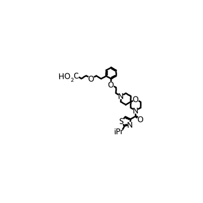 CC(C)c1nc(C(=O)N2CCOC3(CCN(CCOc4ccccc4CCOCCC(=O)O)CC3)C2)cs1